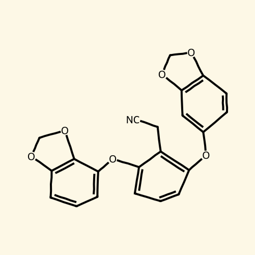 N#CCc1c(Oc2ccc3c(c2)OCO3)cccc1Oc1cccc2c1OCO2